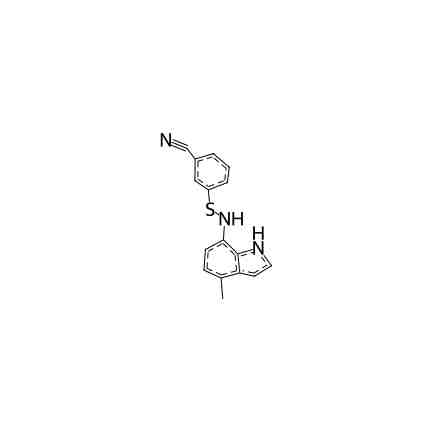 Cc1ccc(NSc2cccc(C#N)c2)c2[nH]ccc12